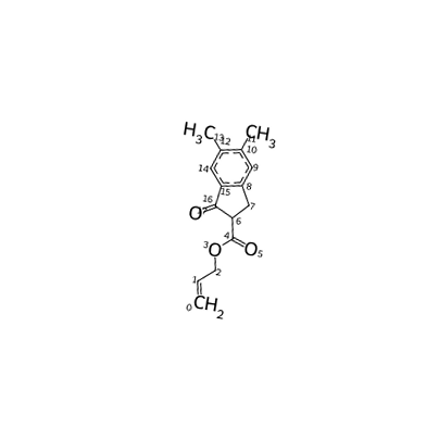 C=CCOC(=O)C1Cc2cc(C)c(C)cc2C1=O